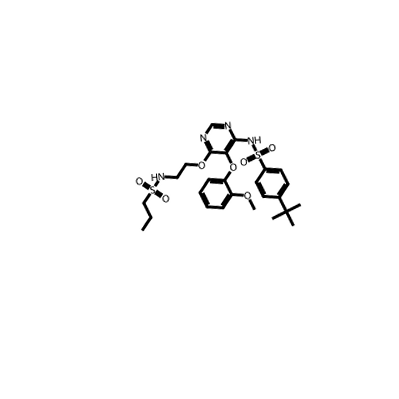 CCCS(=O)(=O)NCCOc1ncnc(NS(=O)(=O)c2ccc(C(C)(C)C)cc2)c1Oc1ccccc1OC